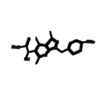 COC(=O)C(O)c1c(C)nc2c(c(C)nn2Cc2ccc(OC)cc2)c1I